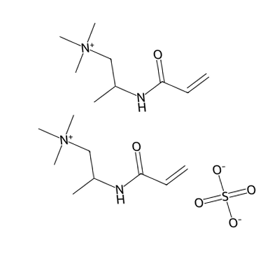 C=CC(=O)NC(C)C[N+](C)(C)C.C=CC(=O)NC(C)C[N+](C)(C)C.O=S(=O)([O-])[O-]